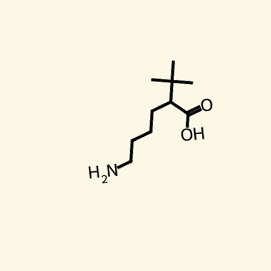 CC(C)(C)C(CCCCN)C(=O)O